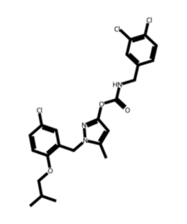 Cc1cc(OC(=O)NCc2ccc(Cl)c(Cl)c2)nn1Cc1cc(Cl)ccc1OCC(C)C